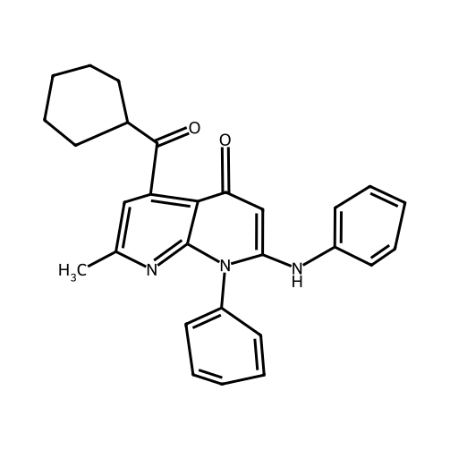 Cc1cc(C(=O)C2CCCCC2)c2c(=O)cc(Nc3ccccc3)n(-c3ccccc3)c2n1